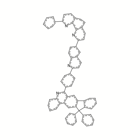 c1ccc(-c2ccc3ccc4ccc(-c5ccc6nc(-c7ccc(-c8nc9ccccc9c9cc%10c(cc89)-c8ccccc8C%10(c8ccccc8)c8ccccc8)cc7)ccc6c5)nc4c3n2)cc1